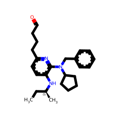 CC[C@H](C)Nc1ccc(CCCC=O)nc1N(Cc1ccccc1)C1CCCC1